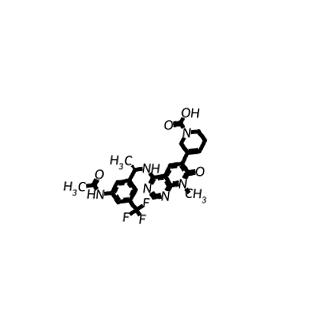 CC(=O)Nc1cc([C@@H](C)Nc2ncnc3c2cc(C2=CCCN(C(=O)O)C2)c(=O)n3C)cc(C(F)(F)F)c1